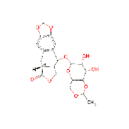 CC1OCC2OC(OC3c4cc5c(cc4C[C@H]4C(=O)OCC34)OCO5)C(O)C(O)C2O1